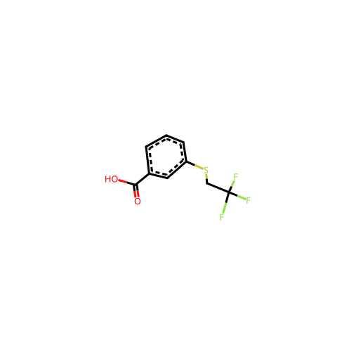 O=C(O)c1cccc(SCC(F)(F)F)c1